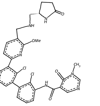 COc1nc(-c2cccc(-c3cccc(NC(=O)c4cncn(C)c4=O)c3Cl)c2Cl)ccc1CNC[C@@H]1CCC(=O)N1